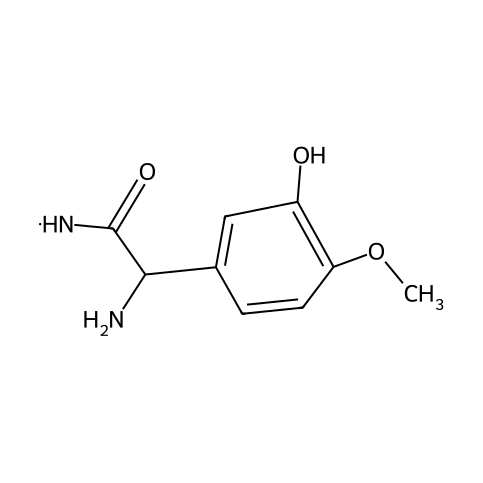 COc1ccc(C(N)C([NH])=O)cc1O